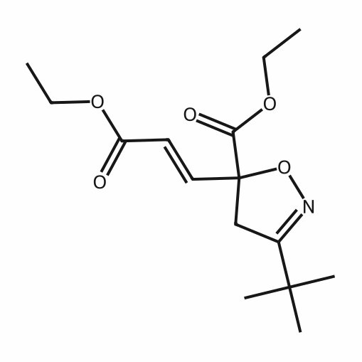 CCOC(=O)/C=C/C1(C(=O)OCC)CC(C(C)(C)C)=NO1